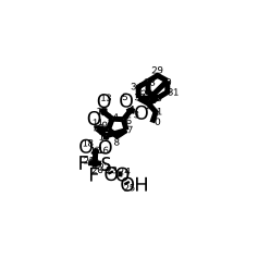 CCC1(OC(=O)C2C3CC4C(OC(=O)C42)C3OC(=O)C(F)(F)SOOO)C2CC3CC(C2)CC1C3